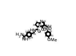 COc1ccc(S(=O)(=O)Nc2cnc3n(c2=O)[C@H](C(=O)NCc2ccc(C(=N)N)cc2)CC3)cc1